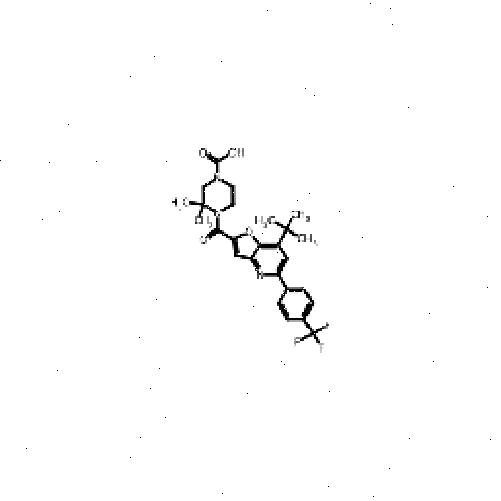 CC(C)(C)c1cc(-c2ccc(C(F)(F)F)cc2)nc2cc(C(=O)N3CCN(C(=O)O)CC3(C)C)oc12